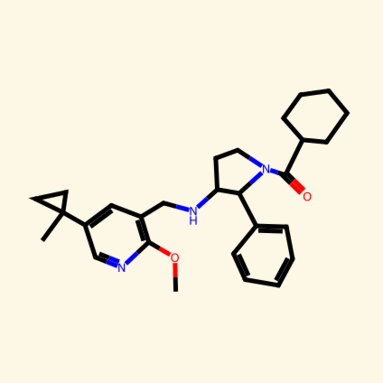 COc1ncc(C2(C)CC2)cc1CNC1CCN(C(=O)C2CCCCC2)C1c1ccccc1